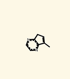 CC1=CCc2nccnc21